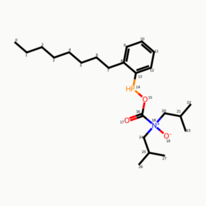 CCCCCCCCc1ccccc1POC(=O)[N+]([O-])(CC(C)C)CC(C)C